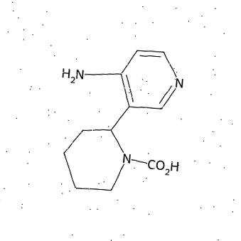 Nc1ccncc1C1CCCCN1C(=O)O